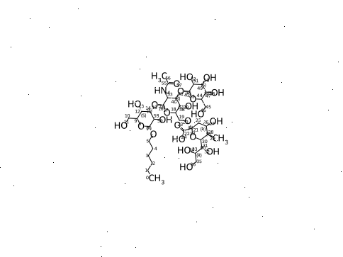 CCCCCCO[C@@H]1OC(CO)[C@H](O)[C@H](O[C@@H]2OC(CO[C@]3(C(=O)O)C[C@@H](O)[C@@H](C)C([C@H](O)[C@H](O)CO)O3)[C@@H](O)[C@H](O[C@@H]3OC(CO)[C@H](O)[C@H](O)C3O)C2NC(C)=O)C1O